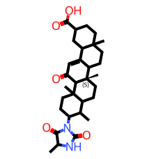 CC1NC(=O)N(C2CCC3(C)C(CC[C@@]4(C)C5CCC6(C)CCC(C(=O)O)CC6C5=CC(=O)C34)C2C)C1=O